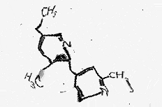 CCc1cnc(-c2ccnc(C)c2)c(C)c1